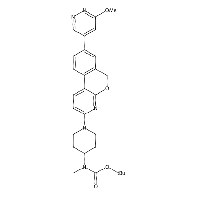 COc1cc(-c2ccc3c(c2)COc2nc(N4CCC(N(C)C(=O)OC(C)(C)C)CC4)ccc2-3)cnn1